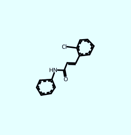 O=C(C=Cc1ccccc1Cl)Nc1ccccc1